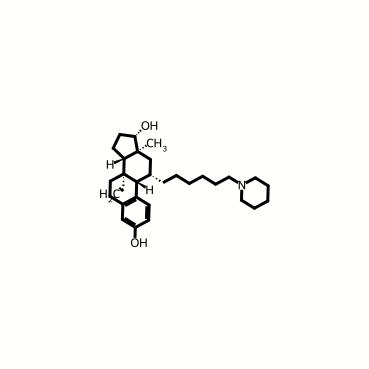 C=C[C@@]12CCc3cc(O)ccc3[C@H]1[C@@H](CCCCCCN1CCCCC1)C[C@@]1(C)[C@H]2CC[C@@H]1O